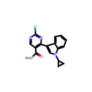 COC(=O)c1cnc(Cl)nc1-c1cn(C2CC2)c2ccccc12